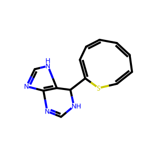 C1=Nc2nc[nH]c2C(c2cccccccs2)N1